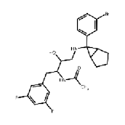 CC(=O)NC(Cc1cc(F)cc(F)c1)C(O)CNC1(c2cccc(Br)c2)C2CCCC21